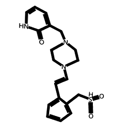 O=c1[nH]cccc1CN1CCN(C=Cc2ccccc2C[SH](=O)=O)CC1